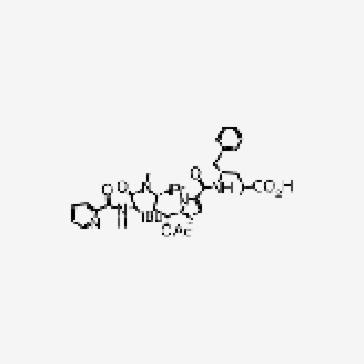 CC[C@H](C)[C@H](NC(=O)c1ccccn1)C(=O)N(C)[C@H](C[C@@H](OC(C)=O)c1nc(C(=O)N[C@@H](Cc2ccccc2)C[C@H](C)C(=O)O)cs1)C(C)C